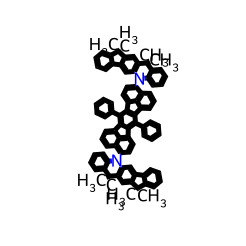 CC1(C)c2ccccc2-c2cc3c(cc21)C(C)(C)c1ccccc1N3c1ccc2c3c(-c4ccccc4)c4c5cccc6c(N7c8ccccc8C(C)(C)c8cc9c(cc87)-c7ccccc7C9(C)C)ccc(c4c(-c4ccccc4)c3c3cccc1c32)c65